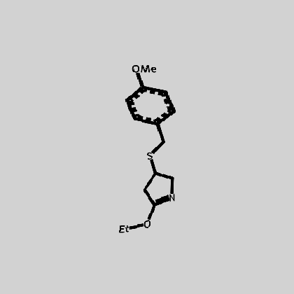 CCOC1=NCC(SCc2ccc(OC)cc2)C1